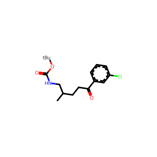 CC(CCC(=O)c1cccc(Cl)c1)CNC(=O)OC(C)(C)C